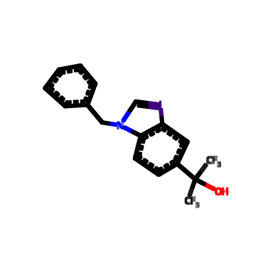 OC(c1ccc2c(c1)I=CN2Cc1ccccc1)(C(F)(F)F)C(F)(F)F